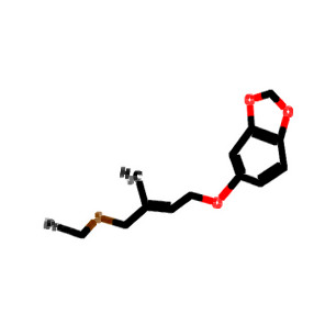 C/C(=C\COc1ccc2c(c1)OCO2)CSCC(C)C